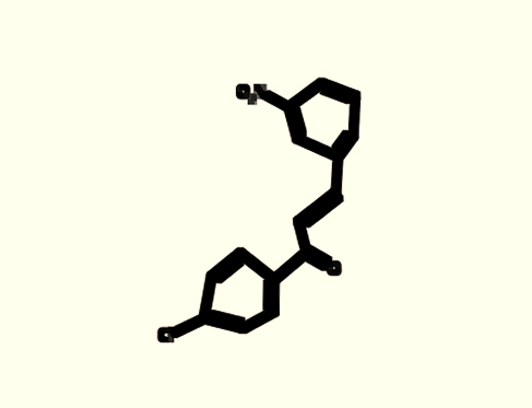 O=C(C=Cc1cccc([N+](=O)[O-])c1)c1ccc(Cl)cc1